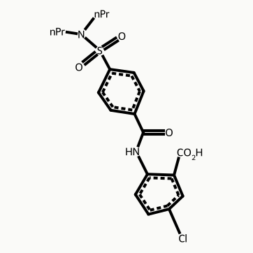 CCCN(CCC)S(=O)(=O)c1ccc(C(=O)Nc2ccc(Cl)cc2C(=O)O)cc1